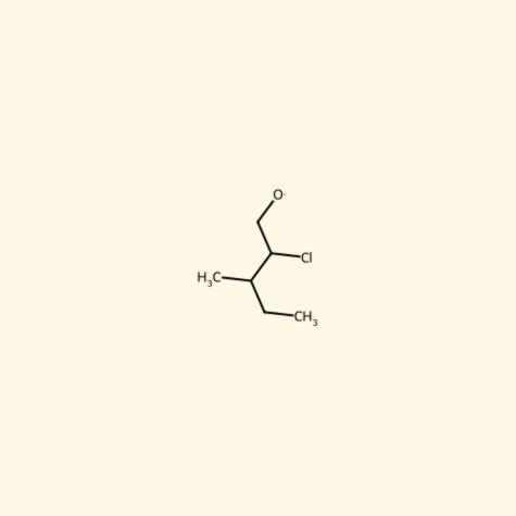 CCC(C)C(Cl)C[O]